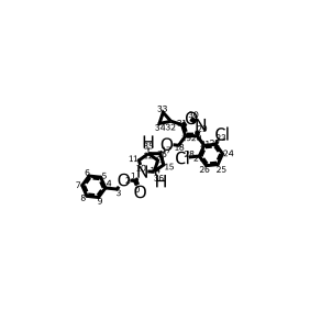 O=C(OCc1ccccc1)N1C[C@@H]2C[C@H]1C[C@@H]2OCc1c(-c2c(Cl)cccc2Cl)noc1C1CC1